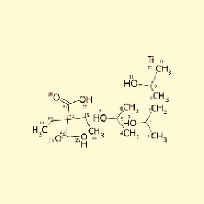 CC(C)O.CC(C)O.CC(C)O.CCC(CC)(C(=O)O)C(=O)O.[Ti]